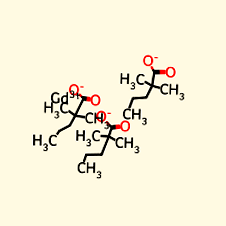 CCCC(C)(C)C(=O)[O-].CCCC(C)(C)C(=O)[O-].CCCC(C)(C)C(=O)[O-].[Gd+3]